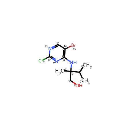 CC(C)C(C)(CO)Nc1nc(Cl)ncc1Br